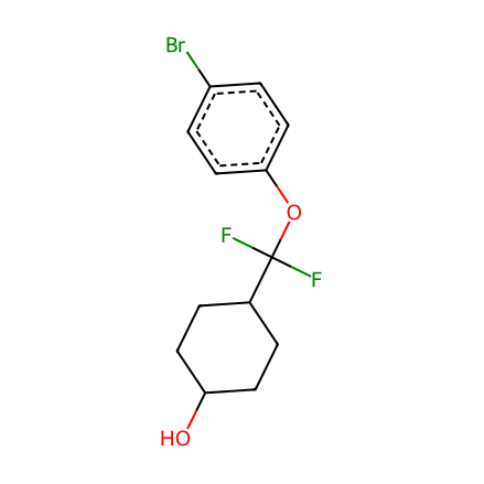 OC1CCC(C(F)(F)Oc2ccc(Br)cc2)CC1